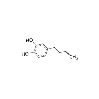 C=CCCc1ccc(O)c(O)c1